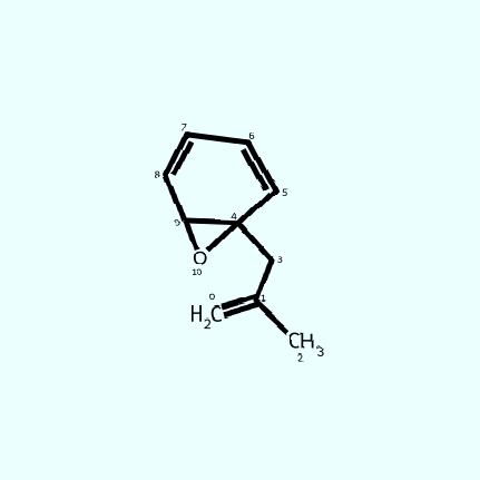 C=C(C)CC12C=CC=CC1O2